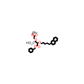 CC(C)(C)OC(=O)CO[C@@H](C(=O)O)[C@@H](OC/C=C/CCc1ccc2ccccc2c1)C(=O)OCc1ccccc1